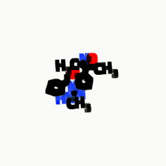 CNc1nc2ccc(C3C(C)=NOC3C)c3c2n1C(c1ccccc1)CO3